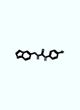 O=C(NCc1ccc2nccn2c1)Nc1ccc(Br)cc1